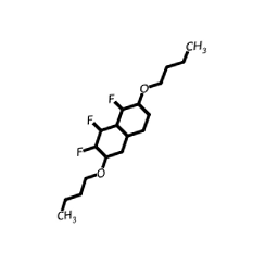 CCCCOC1CC2CCC(OCCCC)C(F)C2C(F)C1F